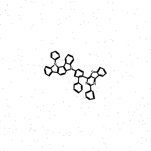 c1ccc(-c2nc(-c3ccc(-n4c5ccccc5c5c4ccc4c6ccccc6n(-c6ccccc6)c45)cc3-c3ccccc3)c3sc4ccccc4c3n2)cc1